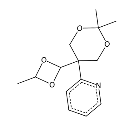 CC1OC(C2(c3ccccn3)COC(C)(C)OC2)O1